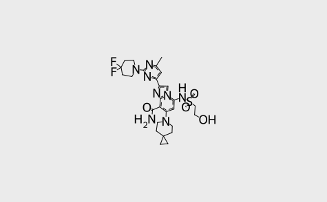 Cc1cc(-c2cn3c(NS(=O)(=O)CCO)cc(N4CCC5(CC4)CC5)c(C(N)=O)c3n2)nc(N2CCC(F)(F)CC2)n1